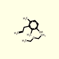 C=CCc1c(C)ccc(O)c1C.CCOCC